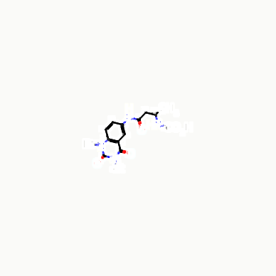 CCn1c(=O)c2cc(NC(=O)CC(C)NC(=O)O)ccc2n(CC)c1=O